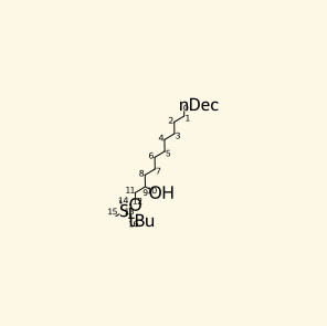 CCCCCCCCCCCCCCCCCCC(O)CO[Si](C)(C)C(C)(C)C